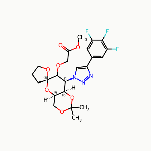 COC(=O)COC1[C@@H](n2cc(-c3cc(F)c(F)c(F)c3)nn2)[C@H]2OC(C)(C)OC[C@H]2O[C@@]12CCCO2